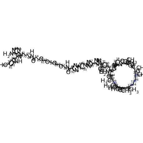 CO[C@H]1C[C@@H]2CC[C@@H](C)[C@@](O)(O2)C(=O)C(=O)N2CCCC[C@H]2C(=O)O[C@H]([C@H](N)C[C@@H]2CC[C@H](n3cc(-c4cnc(N5CCN(c6ncc(C(=O)NCCOCCOCCOCCOCCC(=O)NCCCCn7nc(-c8cc9cc(O)ccc9[nH]8)c8c(N)ncnc87)cn6)CC5)nc4)nn3)[C@H](OC)C2)CC(=O)[C@H](C)/C=C(\C)[C@@H](O)[C@@H](O)C(=O)[C@H](C)C[C@H](C)/C=C/C=C/C=C/1C